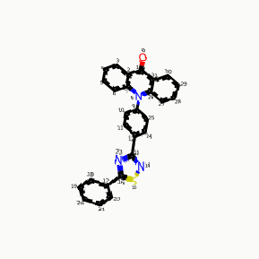 O=c1c2ccccc2n(-c2ccc(-c3nsc(-c4ccccc4)n3)cc2)c2ccccc12